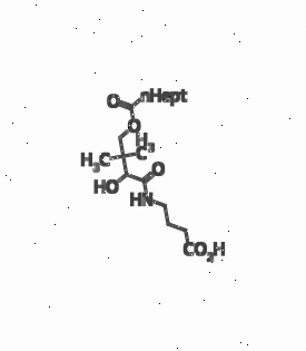 CCCCCCCC(=O)OCC(C)(C)C(O)C(=O)NCCCC(=O)O